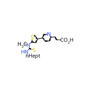 CCCCCCCNC(=S)N(C)c1cc(-c2ccc(C=CC(=O)O)nc2)cs1